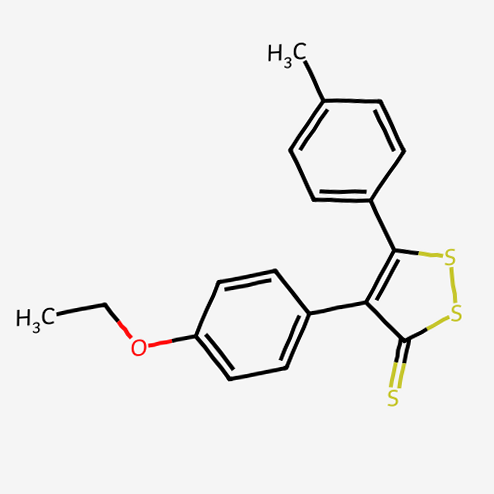 CCOc1ccc(-c2c(-c3ccc(C)cc3)ssc2=S)cc1